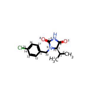 CC(C)[C@@H]1C(=O)NC(=O)N1Cc1ccc(Cl)cc1